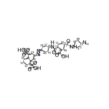 C=Nc1ccc(NC(=O)c2ccc(C(=O)Nc3ccc(/N=N/c4cc(S(=O)(=O)O)c5cccc(S(=O)(=O)O)c5c4)cc3)c(C(=O)O)c2)cc1